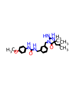 COc1ccc(NC(=O)NCc2cccc(CN3C(=N)NC(C)(CC(C)C)C3=O)c2)cc1